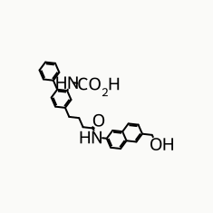 O=C(O)Nc1cc(CCCC(=O)Nc2ccc3cc(CO)ccc3c2)ccc1-c1ccccc1